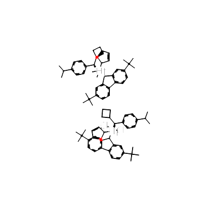 CC(C)c1ccc([C](C2CCC2)=[Hf]([CH3])([CH3])([CH]2C=CC=C2)[CH]2c3cc(C(C)(C)C)ccc3-c3ccc(C(C)(C)C)cc32)cc1.CC(C)c1ccc([C](C2CCC2)=[Hf]([Cl])([Cl])([CH]2C=CC=C2)[CH]2c3cc(C(C)(C)C)ccc3-c3ccc(C(C)(C)C)cc32)cc1